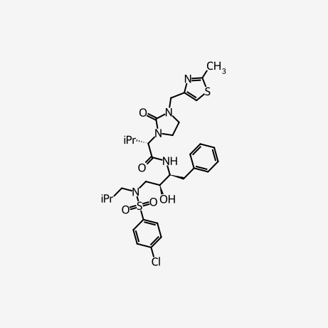 Cc1nc(CN2CCN([C@H](C(=O)N[C@@H](Cc3ccccc3)[C@@H](O)CN(CC(C)C)S(=O)(=O)c3ccc(Cl)cc3)C(C)C)C2=O)cs1